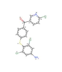 Nc1cc(Cl)c(Sc2ccc(C(=O)c3ccc(Cl)nc3)cc2)c(Cl)c1